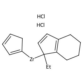 CC[C]1([Zr][C]2=CC=CC2)C=CC2=C1CCCC2.Cl.Cl